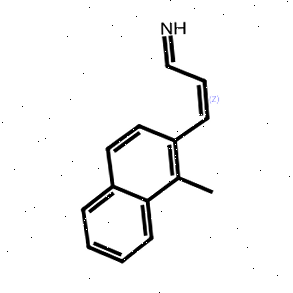 Cc1c(/C=C\C=N)ccc2ccccc12